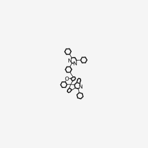 c1ccc(-c2cc(-c3ccccc3)nc(-c3cccc(-c4cccc5c4Oc4ccccc4C54c5ccccc5-c5c(-c6ccccc6)nc6ccccc6c54)c3)n2)cc1